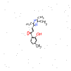 Cc1ccc(C(=O)C=Cc2nc(C)c(C)nc2C)c(O)c1